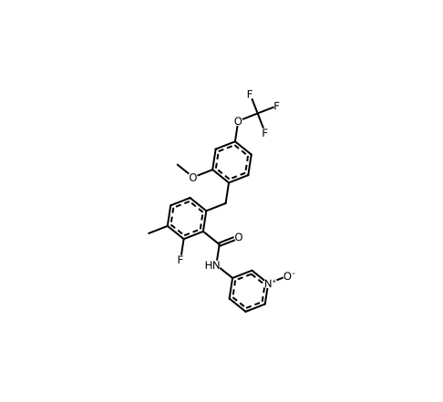 COc1cc(OC(F)(F)F)ccc1Cc1ccc(C)c(F)c1C(=O)Nc1ccc[n+]([O-])c1